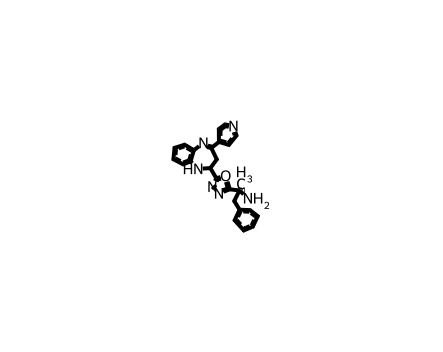 C[C@@](N)(Cc1ccccc1)c1nnc(C2CC(c3ccncc3)=Nc3ccccc3N2)o1